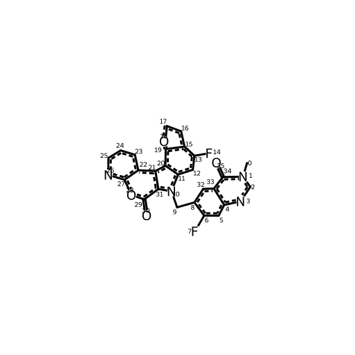 Cn1cnc2cc(F)c(Cn3c4cc(F)c5ccoc5c4c4c5cccnc5oc(=O)c43)cc2c1=O